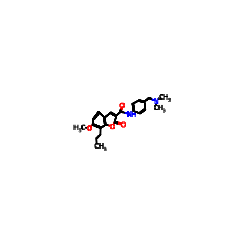 CCCc1c(OC)ccc2cc(C(=O)Nc3ccc(CN(C)C)cc3)c(=O)oc12